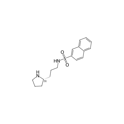 O=S(=O)(NCCC[C@@H]1CCCN1)c1ccc2ccccc2c1